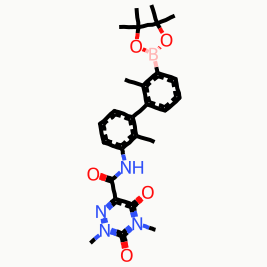 Cc1c(NC(=O)c2nn(C)c(=O)n(C)c2=O)cccc1-c1cccc(B2OC(C)(C)C(C)(C)O2)c1C